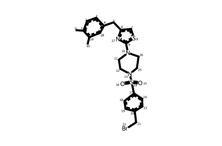 Cc1ccc(Cc2csc(N3CCN(S(=O)(=O)c4ccc(CBr)cc4)CC3)n2)cc1C